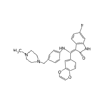 CN1CCN(Cc2ccc(NC(=C3C(=O)Nc4cc(F)ccc43)c3ccc4c(c3)OC=CO4)cc2)CC1